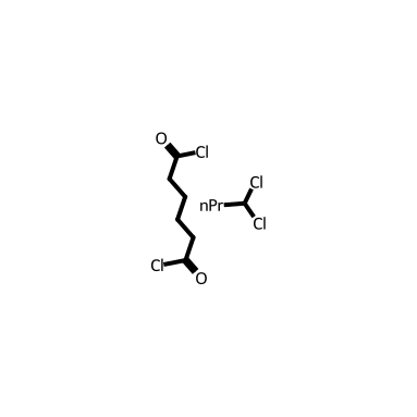 CCCC(Cl)Cl.O=C(Cl)CCCCC(=O)Cl